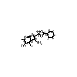 CCc1c(C)nc2sc(-c3nnc(-c4ccccc4)o3)c(N)c2c1C